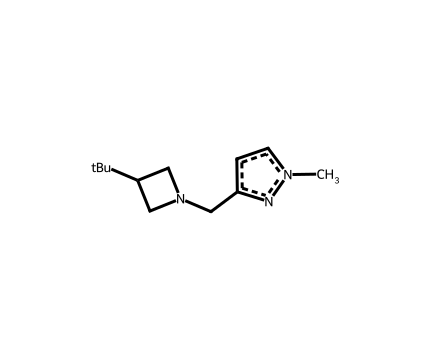 Cn1ccc(CN2CC(C(C)(C)C)C2)n1